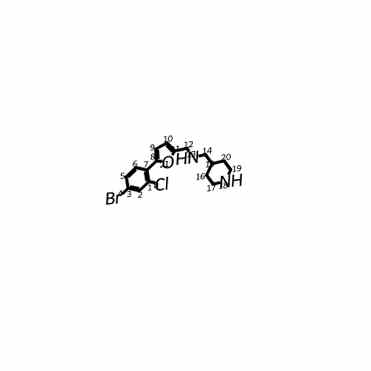 Clc1cc(Br)ccc1-c1ccc(CNCC2CCNCC2)o1